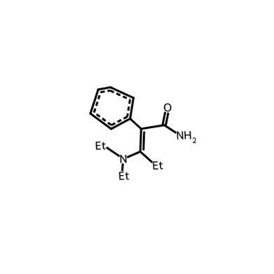 CCC(=C(C(N)=O)c1ccccc1)N(CC)CC